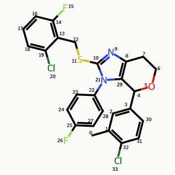 Cc1cc(C2OCCc3nc(SCc4c(F)cccc4Cl)n(-c4ccc(F)cc4)c32)ccc1Cl